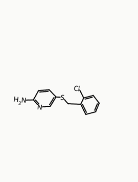 Nc1ccc(SCc2ccccc2Cl)cn1